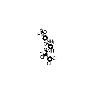 COC(=O)Nc1ccc(NC(=O)c2cc(NC(=O)[C@H]3[C@H](c4cc(Cl)cc(Cl)c4)C3(Cl)Cl)ccc2Cl)cc1